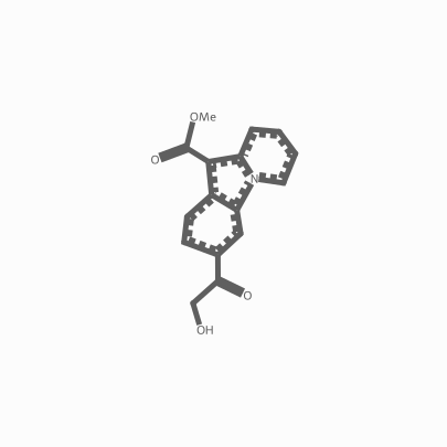 COC(=O)c1c2ccc(C(=O)CO)cc2n2ccccc12